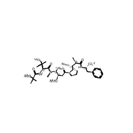 CC[C@H](C)[C@@H]([C@@H](CC(=O)N1CCC[C@H]1[C@H](OC)[C@@H](C)C(=O)N[C@@H](Cc1ccccc1)C(=O)O)OC)N(C)C(=O)[C@@H](NC(=O)C(C)(C)NC)C(C)(C)O